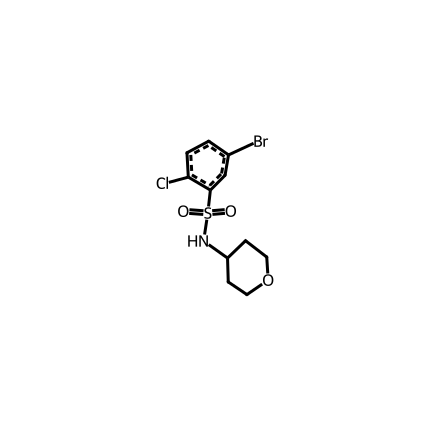 O=S(=O)(NC1CCOCC1)c1cc(Br)ccc1Cl